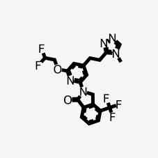 Cn1cnnc1CCc1cc(OCC(F)F)nc(N2Cc3c(cccc3C(F)(F)F)C2=O)c1